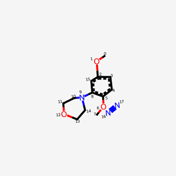 COc1ccc(OC)c(N2CCOCC2)c1.N#N